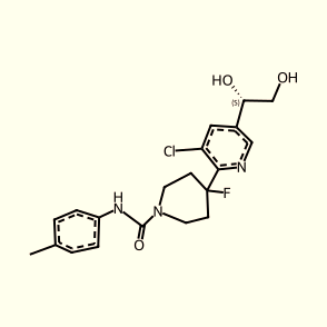 Cc1ccc(NC(=O)N2CCC(F)(c3ncc([C@H](O)CO)cc3Cl)CC2)cc1